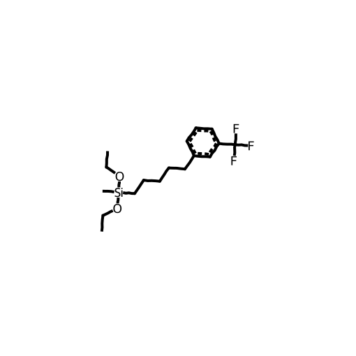 CCO[Si](C)(CCCCCc1cccc(C(F)(F)F)c1)OCC